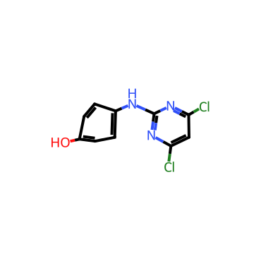 Oc1ccc(Nc2nc(Cl)cc(Cl)n2)cc1